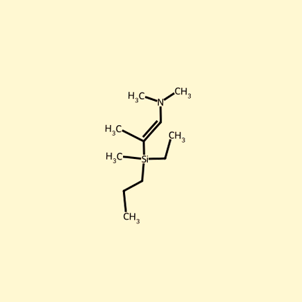 CCC[Si](C)(CC)C(C)=CN(C)C